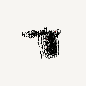 N=C(NCCCCCCNC(=N)NC(=N)Nc1ccc(Cl)cc1)NC(=N)Nc1ccc(Cl)cc1.O=C(O)[C@H](O)[C@@H](O)[C@H](O)[C@H](O)CO.O=C(O)[C@H](O)[C@@H](O)[C@H](O)[C@H](O)CO.O=C(O)[C@H](O)[C@@H](O)[C@H](O)[C@H](O)CO.O=C(O)[C@H](O)[C@@H](O)[C@H](O)[C@H](O)CO.O=C(O)[C@H](O)[C@@H](O)[C@H](O)[C@H](O)CO.O=C(O)[C@H](O)[C@@H](O)[C@H](O)[C@H](O)CO.O=C(O)[C@H](O)[C@@H](O)[C@H](O)[C@H](O)CO